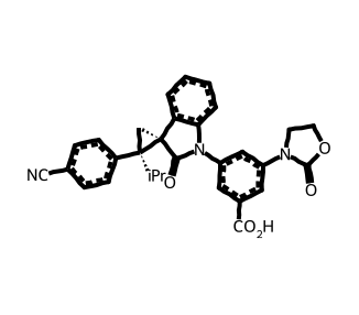 CC(C)[C@]1(c2ccc(C#N)cc2)C[C@]12C(=O)N(c1cc(C(=O)O)cc(N3CCOC3=O)c1)c1ccccc12